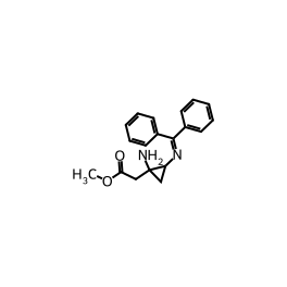 COC(=O)CC1(N)CC1N=C(c1ccccc1)c1ccccc1